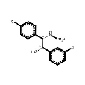 O=C(O)N[C@@H](c1ccc(Cl)cc1)[C@@H](O)c1cccc(Cl)c1